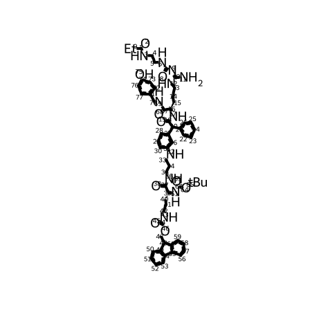 CCC(=O)NCCNC(=O)/N=C(/N)NCCC[C@@H](NC(=O)C(c1ccccc1)c1cccc(NCCCNC(=O)[C@@H](CCCNC(=O)OCC2c3ccccc3-c3ccccc32)NC(=O)OC(C)(C)C)c1)C(=O)NCc1ccc(O)cc1